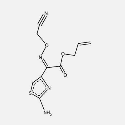 C=CCOC(=O)/C(=N\OCC#N)c1csc(N)n1